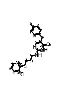 Cc1ccc(Cc2cnc(NCCCCc3ncccc3Cl)[nH]c2=O)cn1